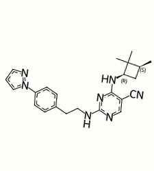 C[C@H]1C[C@@H](Nc2nc(NCCc3ccc(-n4cccn4)cc3)ncc2C#N)C1(C)C